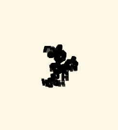 CCS(=O)(=O)c1cccc(-c2cnc(OC[C@H](O)CO)c3[nH]c4ncc(C)cc4c23)c1